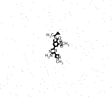 CC(C1CC1)N1Cc2cc(-c3cnc(N)c(-c4cnn(C)c4)n3)cc(S(C)(=O)=O)c2C1=O